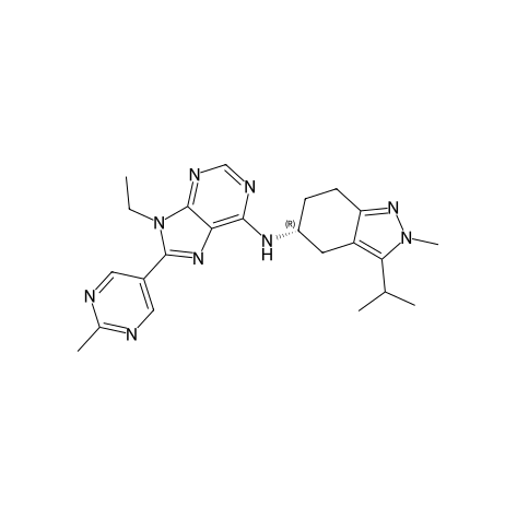 CCn1c(-c2cnc(C)nc2)nc2c(N[C@@H]3CCc4nn(C)c(C(C)C)c4C3)ncnc21